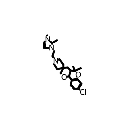 CC1N(C)C=CN1CCN1CCC2(CC1)COC1c3ccc(Cl)cc3OC(C)(C)C1C2